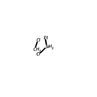 CC[SiH2]Cl.CCl